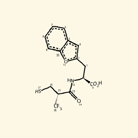 O=C(O)[C@H](Cc1cc2ccccc2o1)NC(=O)[C@@H](CS)C(F)(F)F